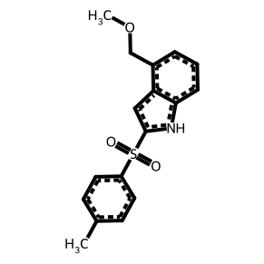 COCc1cccc2[nH]c(S(=O)(=O)c3ccc(C)cc3)cc12